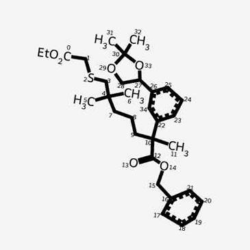 CCOC(=O)CSCC(C)(C)CCCC(C)(C(=O)OCc1ccccc1)c1cccc(C2COC(C)(C)O2)c1